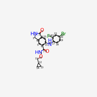 O=C1NCc2cc(C(=O)NOCC3CC3)c(Nc3ccc(Br)cc3F)cc21